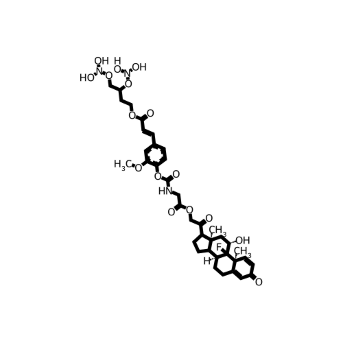 COc1cc(/C=C/C(=O)OCCC(CON(O)O)ON(O)O)ccc1OC(=O)NCC(=O)OCC(=O)C1CCC2[C@@H]3CCC4=CC(=O)C=C[C@]4(C)C3(F)[C@@H](O)C[C@]12C